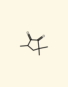 CC1CC(C)(C)C(=O)C1=O